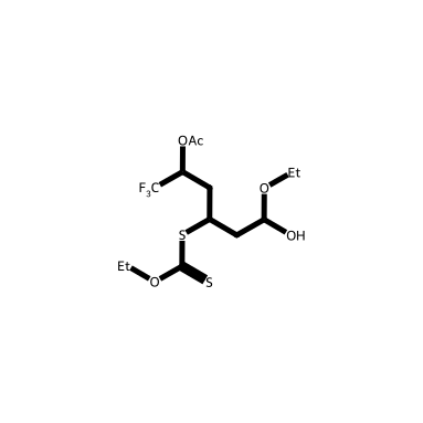 CCOC(=S)SC(CC(O)OCC)CC(OC(C)=O)C(F)(F)F